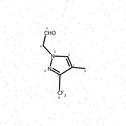 Cc1cn(CC=O)nc1C(F)(F)F